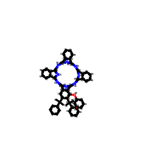 CC(C)(c1ccccc1)c1cc2c3nc4nc(nc5[nH]c(nc6nc(nc([nH]3)c2c(Oc2ccccc2)c1C(C)(C)c1ccccc1)-c1ccccc1-6)c1ccccc51)-c1ccccc1-4